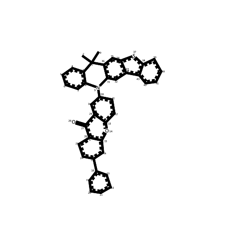 CC1(C)c2ccccc2N(c2ccc3oc4cc(-c5ccccc5)ccc4c(=O)c3c2)c2cc3c(cc21)sc1ccccc13